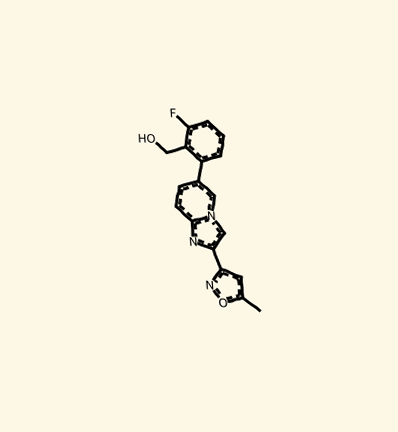 Cc1cc(-c2cn3cc(-c4cccc(F)c4CO)ccc3n2)no1